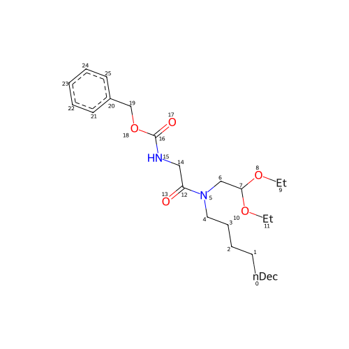 CCCCCCCCCCCCCCN(CC(OCC)OCC)C(=O)CNC(=O)OCc1ccccc1